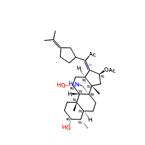 CC(=O)O[C@H]1C[C@@]2(C)[C@@H](C[C@@H](O)[C@H]3[C@@]4(C)CC[C@@H](O)[C@@H](C)[C@@H]4CC[C@@]32CN)/C1=C(/C(C)=O)C1CCC(=C(C)C)C1